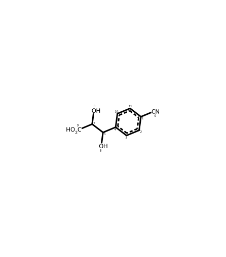 N#Cc1ccc(C(O)C(O)C(=O)O)cc1